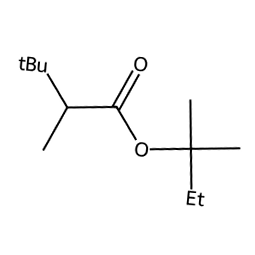 CCC(C)(C)OC(=O)C(C)C(C)(C)C